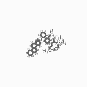 CCCCC(CC)CO.OC1CCCCC1.OCCO.OCc1ccccc1.c1ccc2c(c1)ccc1c3c(ccc12)CCCC3